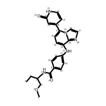 CCC(COC)NC(=O)c1ccc(Nc2ccc(-c3cc[nH]c(=O)c3)n3ccnc23)cc1